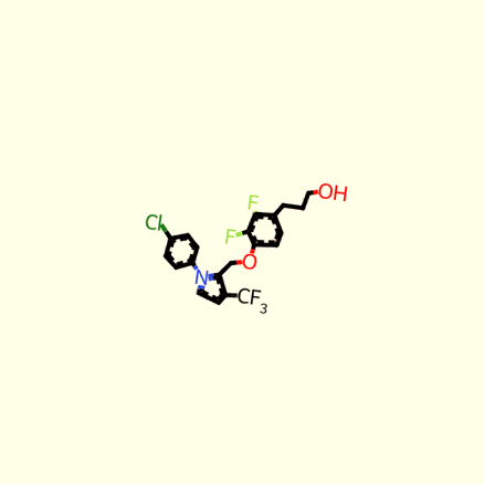 OCCCc1ccc(OCc2c(C(F)(F)F)ccn2-c2ccc(Cl)cc2)c(F)c1F